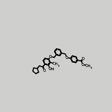 COC(=O)c1ccc(OCc2cccc(COc3ccc(C(=O)CC4CCCC4)c(O)c3C)c2)cc1